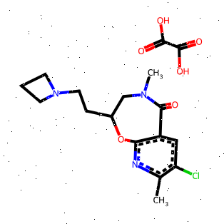 Cc1nc2c(cc1Cl)C(=O)N(C)CC(CCN1CCC1)O2.O=C(O)C(=O)O